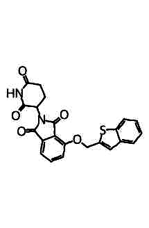 O=C1CCC(N2C(=O)c3cccc(OCc4cc5ccccc5s4)c3C2=O)C(=O)N1